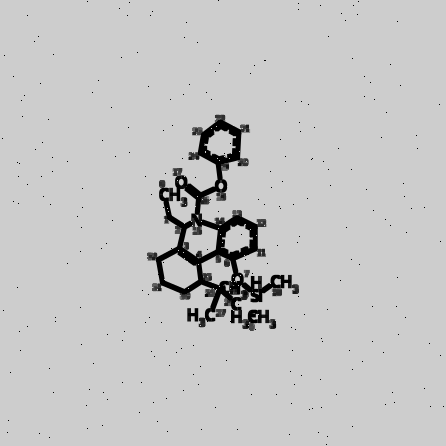 CCC1C2=C(c3c(O[SiH](C)C)cccc3N1C(=O)Oc1ccccc1)C(C(C)(C)C)CCC2